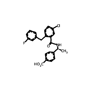 C[C@H](NC(=O)c1cc(Cl)ccc1Cc1cccc(F)c1)c1ccc(C(=O)O)cc1